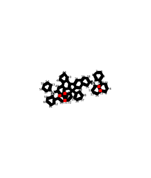 c1ccc(-c2ccccc2N(c2ccccc2)c2ccc3cc4c(cc3c2)C(c2ccccc2)(c2ccccc2)c2c-4c3ccccc3c3cc(N(c4ccccc4)c4ccccc4-c4ccccc4)ccc23)cc1